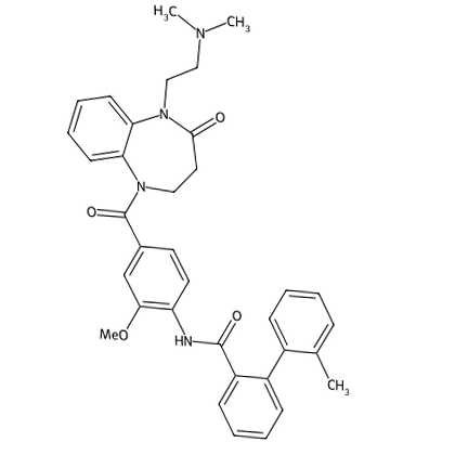 COc1cc(C(=O)N2CCC(=O)N(CCN(C)C)c3ccccc32)ccc1NC(=O)c1ccccc1-c1ccccc1C